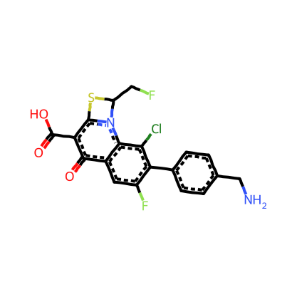 NCc1ccc(-c2c(F)cc3c(=O)c(C(=O)O)c4n(c3c2Cl)C(CF)S4)cc1